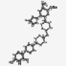 COc1cc(N2CCC(CN3CCN(c4ccc(-n5ccc(=O)[nH]c5=O)cc4)CC3)CC2)c(-c2cnn(C)c2)cc1[N+](=O)[O-]